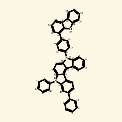 c1ccc(-c2ccc3c4c5c6ccccc6n(-c6ccc(-c7cccc8c7oc7ccccc78)cc6)c5ccc4n(-c4ccccc4)c3c2)cc1